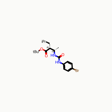 CC(C)C[C@@H](C(=O)OC(C)(C)C)[C@H](C)NC(=O)Nc1ccc(Br)cc1